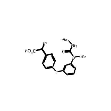 CCCCCCNC(=O)N(CCCC)c1cccc(Sc2ccc(C(CC)C(=O)O)cc2)c1